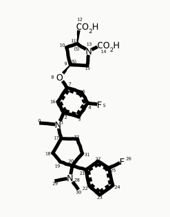 CN(c1cc(F)cc(O[C@H]2C[C@@H](C(=O)O)N(C(=O)O)C2)c1)C1CCC(c2cccc(F)c2)(N(C)C)CC1